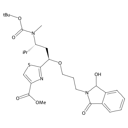 COC(=O)c1csc([C@@H](C[C@H](C(C)C)N(C)C(=O)OC(C)(C)C)OCCCN2C(=O)c3ccccc3C2O)n1